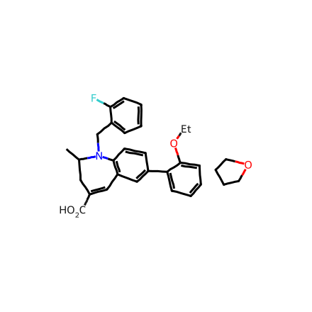 C1CCOC1.CCOc1ccccc1-c1ccc2c(c1)C=C(C(=O)O)CC(C)N2Cc1ccccc1F